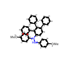 COc1ccc(NN(c2ccc(OC)cc2)c2ccc(-c3ccccc3)c(-c3ccccc3)c2-c2ccccc2)cc1